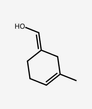 CC1=CCC/C(=C\O)C1